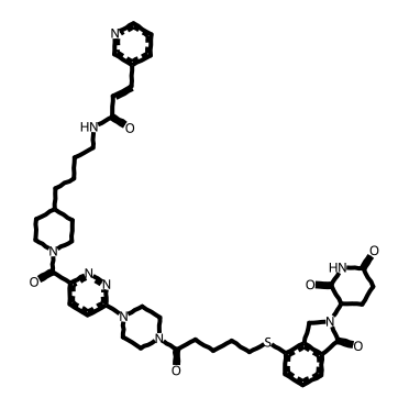 O=C(/C=C/c1cccnc1)NCCCCC1CCN(C(=O)c2ccc(N3CCN(C(=O)CCCCSc4cccc5c4CN(C4CCC(=O)NC4=O)C5=O)CC3)nn2)CC1